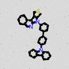 c1cc(-c2ccc(-n3c4ccccc4c4ccccc43)cc2)cc(-n2c3cscc3c3c4ccccc4cnc32)c1